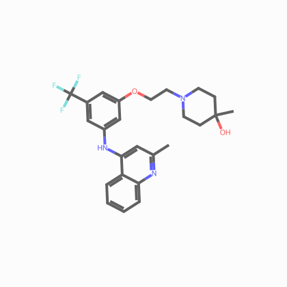 Cc1cc(Nc2cc(OCCN3CCC(C)(O)CC3)cc(C(F)(F)F)c2)c2ccccc2n1